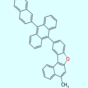 Cc1cc2oc3ccc(-c4c5ccccc5c(-c5ccc6ccccc6c5)c5ccccc45)cc3c2c2ccccc12